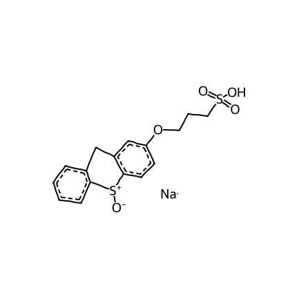 O=S(=O)(O)CCCOc1ccc2c(c1)Cc1ccccc1[S+]2[O-].[Na]